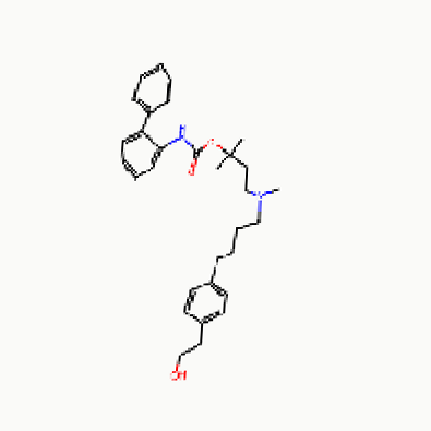 CN(CCCCc1ccc(CCO)cc1)CCC(C)(C)OC(=O)Nc1ccccc1-c1ccccc1